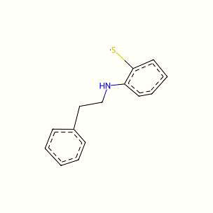 [S]c1ccccc1NCCc1ccccc1